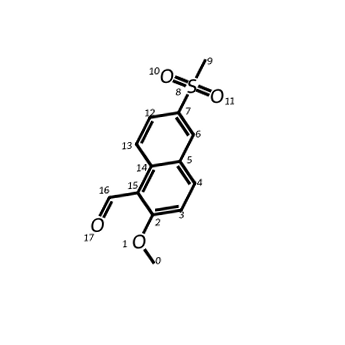 COc1ccc2cc(S(C)(=O)=O)ccc2c1C=O